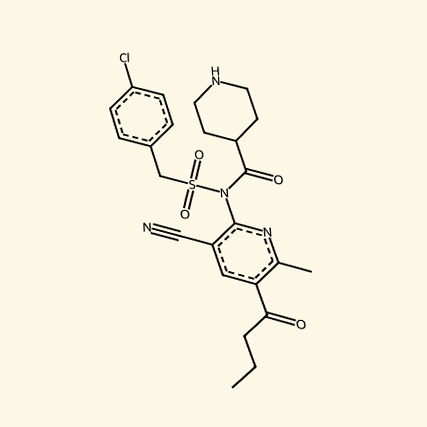 CCCC(=O)c1cc(C#N)c(N(C(=O)C2CCNCC2)S(=O)(=O)Cc2ccc(Cl)cc2)nc1C